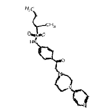 CCCC(C)S(=O)(=O)Nc1ccc(C(=O)CN2CCN(c3ccncc3)CC2)cc1